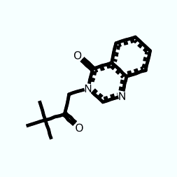 CC(C)(C)C(=O)Cn1cnc2ccccc2c1=O